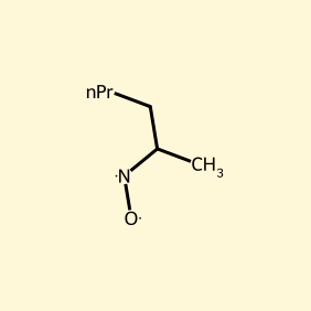 CCCCC(C)[N][O]